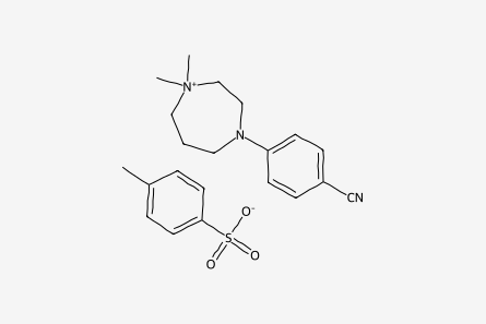 C[N+]1(C)CCCN(c2ccc(C#N)cc2)CC1.Cc1ccc(S(=O)(=O)[O-])cc1